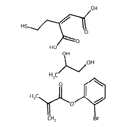 C=C(C)C(=O)Oc1ccccc1Br.CC(O)CO.O=C(O)C=C(CCS)C(=O)O